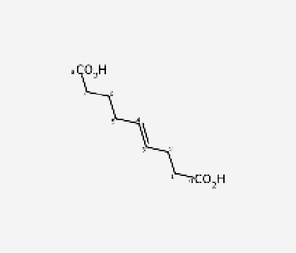 O=C(O)CCC=CCCCC(=O)O